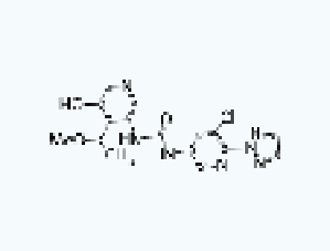 COC(C)c1c(O)cncc1NC(=O)Nc1cnc(-n2nccn2)c(Cl)c1